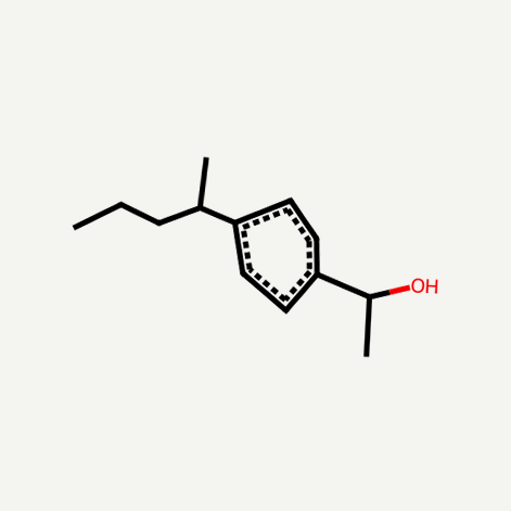 CCCC(C)c1ccc(C(C)O)cc1